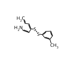 C=C/C=C(\C=C/N)SSc1cccc(C)c1